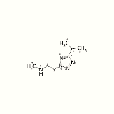 CNCCn1nnc(C(C)C)n1